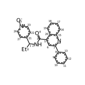 CCC(NC(=O)c1cc(-c2ccccc2)nc2ccccc12)c1cc[n+]([O-])cc1